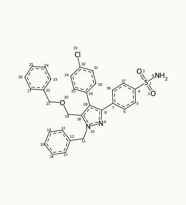 NS(=O)(=O)c1ccc(-c2nn(Cc3ccccc3)c(COCc3ccccc3)c2-c2ccc(Cl)cc2)cc1